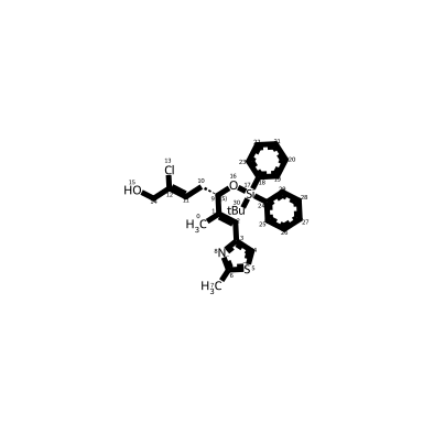 CC(=Cc1csc(C)n1)[C@H](CC=C(Cl)CO)O[Si](c1ccccc1)(c1ccccc1)C(C)(C)C